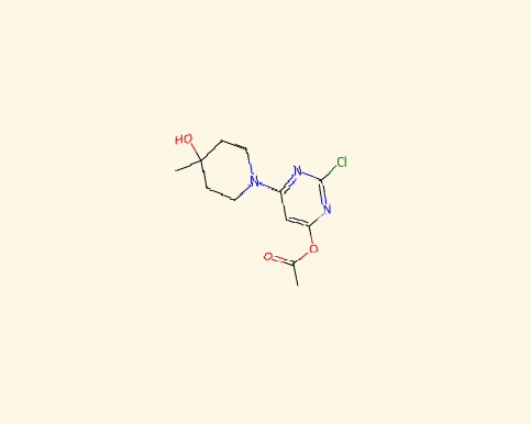 CC(=O)Oc1cc(N2CCC(C)(O)CC2)nc(Cl)n1